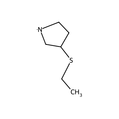 CCSC1CC[N]C1